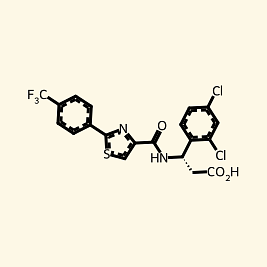 O=C(O)C[C@H](NC(=O)c1csc(-c2ccc(C(F)(F)F)cc2)n1)c1ccc(Cl)cc1Cl